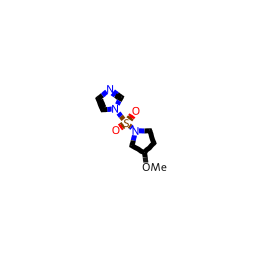 COC1CCN(S(=O)(=O)n2ccnc2)C1